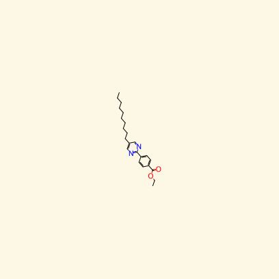 CCCCCCCCCCc1cnc(-c2ccc(C(=O)OCC)cc2)nc1